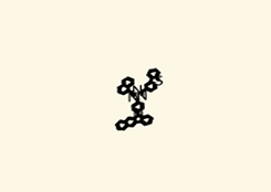 c1ccc2cc3c(cc2c1)c1ccccc1n3-c1ccc(-c2nc(-c3ccc4sc5ccccc5c4c3)nc(-c3cccc4ccccc34)n2)cc1